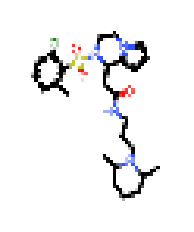 Cc1cccc(Cl)c1S(=O)(=O)N1CCn2cccc2C1CC(=O)NCCCN1C(C)CCCC1C